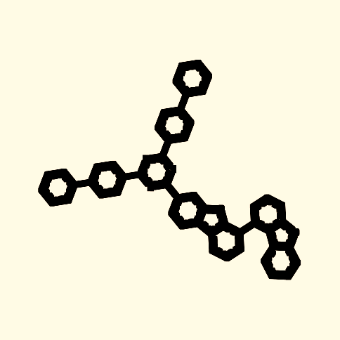 c1ccc(-c2ccc(-c3nc(-c4ccc(-c5ccccc5)cc4)nc(-c4ccc5c(c4)oc4c(-c6cccc7oc8ccccc8c67)cccc45)n3)cc2)cc1